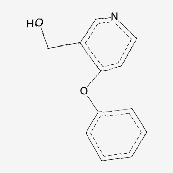 OCc1cnccc1Oc1ccccc1